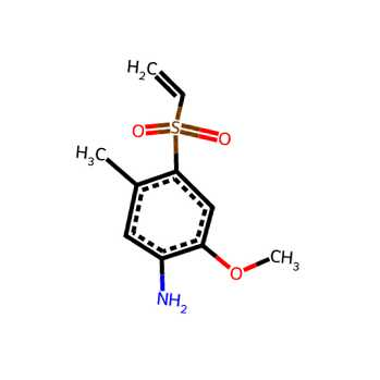 C=CS(=O)(=O)c1cc(OC)c(N)cc1C